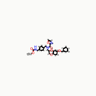 CC(C)(C)OC(=O)NCc1ccc(CN(CC2COc3ccc(OCc4ccccc4)cc3O2)C(=O)c2ncco2)cc1